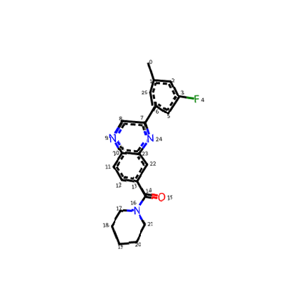 Cc1cc(F)cc(-c2cnc3ccc(C(=O)N4CCCCC4)cc3n2)c1